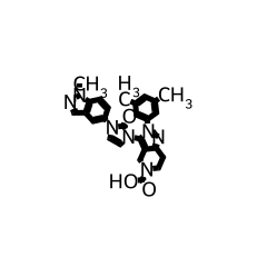 Cc1cc(C)cc(-n2nc3c(c2-n2ccn(-c4ccc5c(cnn5C)c4)c2=O)CN(C(=O)O)CC3)c1